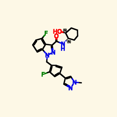 Cn1cc(-c2ccc(Cn3nc(C(=O)N[C@H]4CCCC[C@@H]4O)c4c(F)cccc43)c(F)c2)cn1